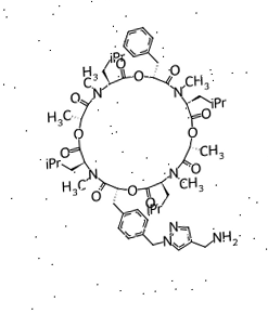 CC(C)C[C@H]1C(=O)O[C@H](Cc2ccc(Cn3cc(CN)cn3)cc2)C(=O)N(C)[C@@H](CC(C)C)C(=O)O[C@H](C)C(=O)N(C)[C@@H](CC(C)C)C(=O)O[C@H](Cc2ccccc2)C(=O)N(C)[C@@H](CC(C)C)C(=O)O[C@H](C)C(=O)N1C